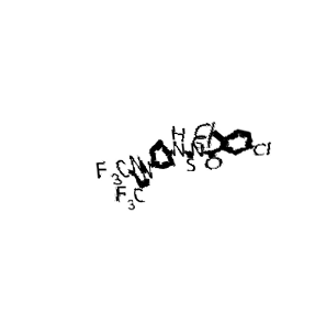 O=C(c1cc(Cl)ccc1Cl)N(Cl)C(=S)Nc1ccc(-n2cc(C(F)(F)F)c(C(F)(F)F)n2)cc1